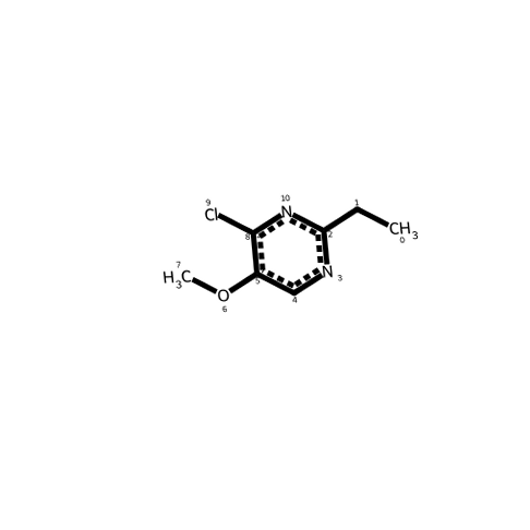 CCc1ncc(OC)c(Cl)n1